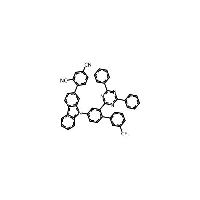 N#Cc1ccc(-c2ccc3c4ccccc4n(-c4ccc(-c5cccc(C(F)(F)F)c5)c(-c5nc(-c6ccccc6)nc(-c6ccccc6)n5)c4)c3c2)c(C#N)c1